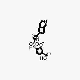 COc1cc(C(=O)O)ccc1NS(=O)(=O)c1csc(-c2ccc3cnccc3c2)n1